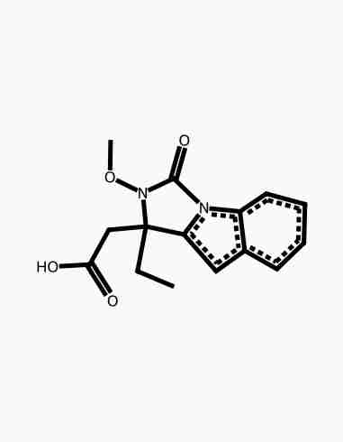 CCC1(CC(=O)O)c2cc3ccccc3n2C(=O)N1OC